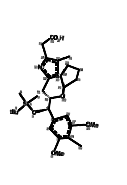 COc1cc([C@@H](O[Si](C)(C)C(C)(C)C)[C@H](Cc2nc(CC(=O)O)c(C)s2)OC2CCCC2)cc(OC)c1C